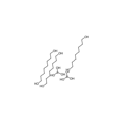 OB(O)O.OB(O)O.OCCCCCCCCO.OCCCCCCCCO.OCCCCCCCCO